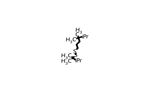 CC(C)C(C)(C)CCCSSC(C)(C)C(C)C